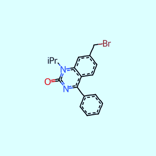 CC(C)n1c(=O)nc(-c2ccccc2)c2ccc(CBr)cc21